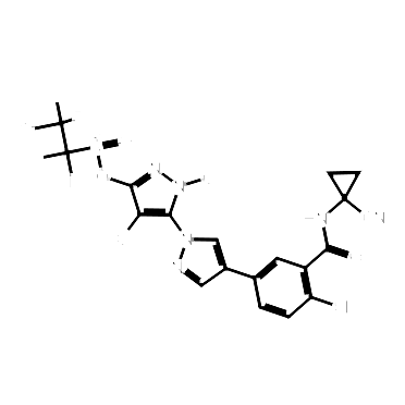 Cn1nc(OS(=O)(=O)C(F)(F)C(F)(F)Cl)c(C(F)(F)F)c1-n1cc(-c2ccc(Cl)c(C(=O)NC3(C#N)CC3)c2)cn1